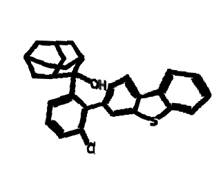 OC1(c2cccc(Cl)c2-c2ccc3c(c2)sc2ccccc23)C2CC3CC(C2)CC1C3